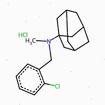 CN(Cc1ccccc1Cl)C12CC3CC(CC(C3)C1)C2.Cl